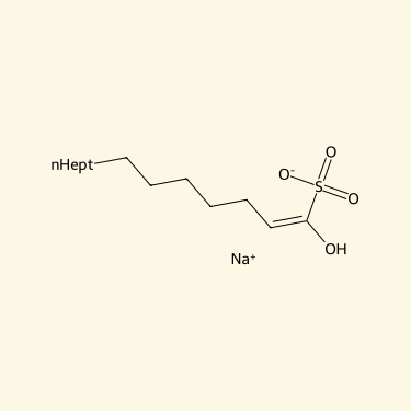 CCCCCCCCCCCCC=C(O)S(=O)(=O)[O-].[Na+]